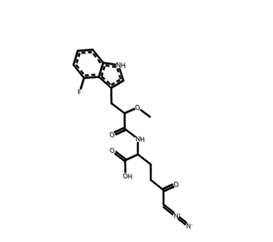 COC(Cc1c[nH]c2cccc(F)c12)C(=O)NC(CCC(=O)C=[N+]=[N-])C(=O)O